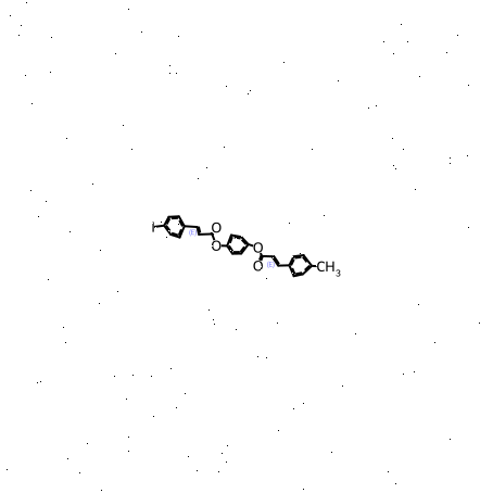 Cc1ccc(/C=C/C(=O)Oc2ccc(OC(=O)/C=C/c3ccc(I)cc3)cc2)cc1